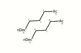 CCCCCCCCCCCCCC(C)=O.CCCCCCCCCCCCCC(C)=O